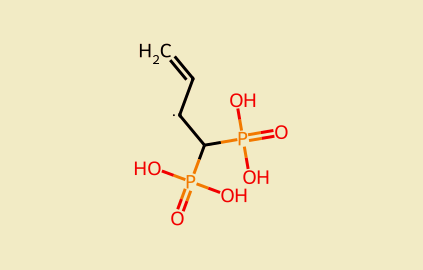 C=C[CH]C(P(=O)(O)O)P(=O)(O)O